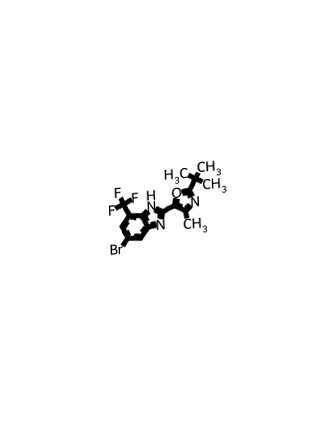 Cc1nc(C(C)(C)C)oc1-c1nc2cc(Br)cc(C(F)(F)F)c2[nH]1